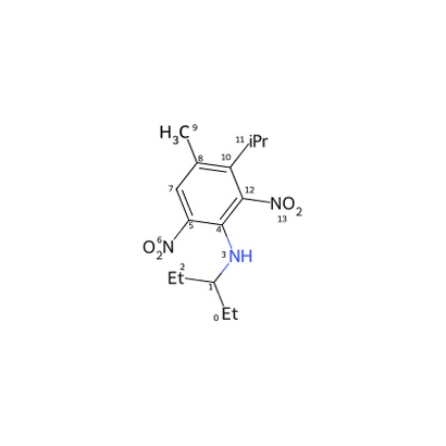 CCC(CC)Nc1c([N+](=O)[O-])cc(C)c(C(C)C)c1[N+](=O)[O-]